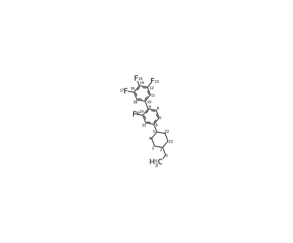 CCC1CCC(c2ccc(-c3cc(F)c(F)c(F)c3)c(F)c2)CC1